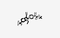 CCn1c(N2CCN(NC(=O)OC(C)(C)C)CC2)c(C#N)c2ccc(C(F)(F)F)cc21